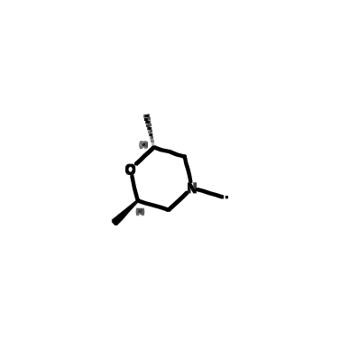 [CH2]N1C[C@@H](C)O[C@H](C)C1